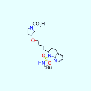 CC(C)(C)NS(=O)(=O)N1c2ncccc2CCC1CCCCO[C@@H]1CCN(C(=O)O)C1